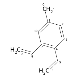 [CH2]c1ccc(C=C)c(C=C)c1